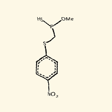 COP(S)CSc1ccc([N+](=O)[O-])cc1